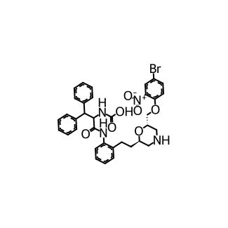 O=C(O)NC(C(=O)Nc1ccccc1CC[C@@H]1CNC[C@@H](COc2ccc(Br)cc2[N+](=O)[O-])O1)C(c1ccccc1)c1ccccc1